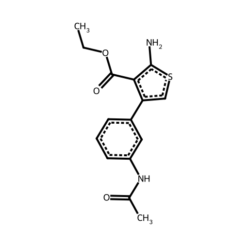 CCOC(=O)c1c(-c2cccc(NC(C)=O)c2)csc1N